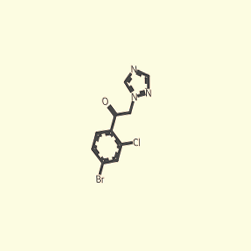 O=C(Cn1cncn1)c1ccc(Br)cc1Cl